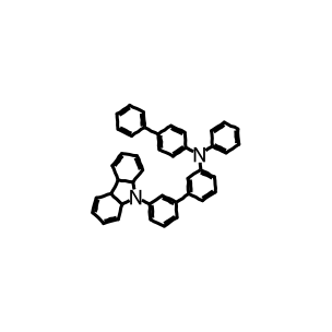 C1=CC2C3C=CC=CC3N(c3cccc(-c4cccc(N(c5ccccc5)c5ccc(-c6ccccc6)cc5)c4)c3)C2C=C1